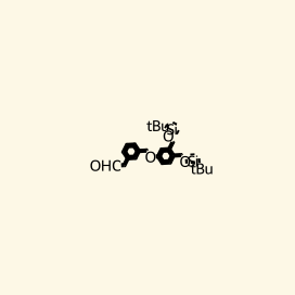 CC(C)(C)[Si](C)(C)OCc1ccc(OCc2cccc(CC=O)c2)cc1CO[Si](C)(C)C(C)(C)C